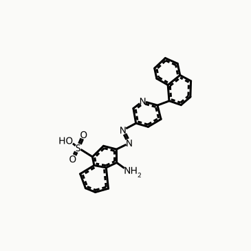 Nc1c(N=Nc2ccc(-c3cccc4ccccc34)nc2)cc(S(=O)(=O)O)c2ccccc12